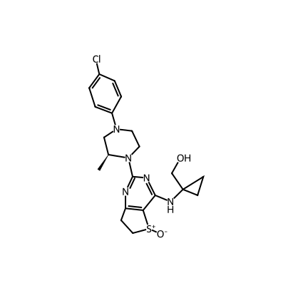 C[C@H]1CN(c2ccc(Cl)cc2)CCN1c1nc2c(c(NC3(CO)CC3)n1)[S+]([O-])CC2